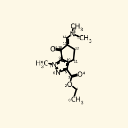 CCOC(=O)c1nn(C)c2c1CCC(=CN(C)C)C2=O